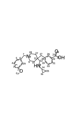 COc1cccc(CN2CCC(CNC3CC3)(Cc3cccc(C(=O)O)c3)CC2)c1